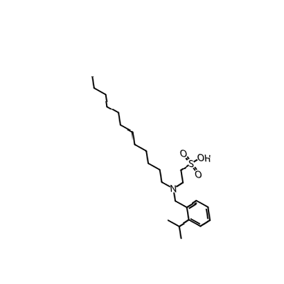 CCCCCCCCCCCCN(CCS(=O)(=O)O)Cc1ccccc1C(C)C